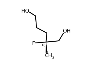 C[C@](F)(CO)CCCO